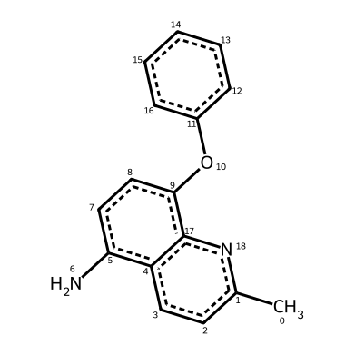 Cc1ccc2c(N)ccc(Oc3ccccc3)c2n1